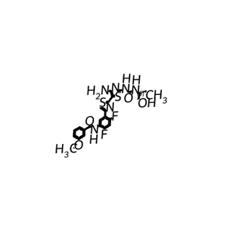 CC[C@@H](CO)NC(=O)Nc1nc(N)c(-c2nc(-c3cc(NC(=O)c4cccc(OC)c4)c(F)cc3F)cs2)s1